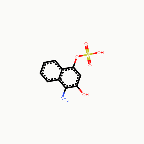 Nc1c(O)cc(OS(=O)(=O)O)c2ccccc12